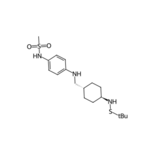 CC(C)(C)SN[C@H]1CC[C@H](CNc2ccc(NS(C)(=O)=O)cc2)CC1